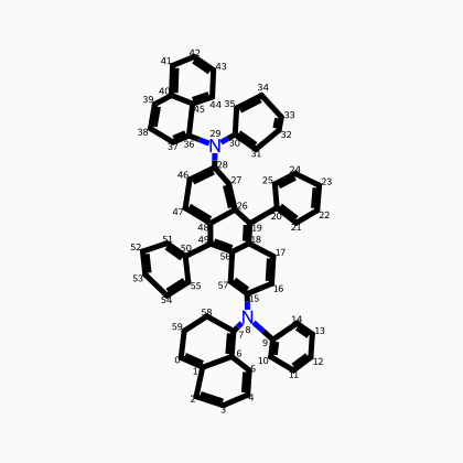 C1=c2ccccc2=C(N(c2ccccc2)c2ccc3c(-c4ccccc4)c4cc(N(c5ccccc5)c5cccc6ccccc56)ccc4c(-c4ccccc4)c3c2)CC1